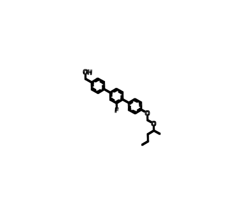 CCCC(C)OCOc1ccc(-c2ccc(-c3ccc(CO)cc3)cc2F)cc1